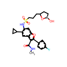 CNC(=O)c1c(-c2ccc(F)cc2)oc2cc(NS(=O)(=O)CCCC3CCB(O)O3)c(C3CC3)cc12